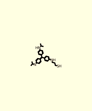 CC(C)N=C1C=CC(=C(c2ccc(NCCCS)cc2)c2ccc(NC(C)C)cc2)C=C1